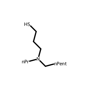 CCCCCCN(CCC)CCCS